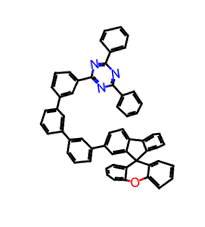 c1ccc(-c2nc(-c3ccccc3)nc(-c3cccc(-c4cccc(-c5cccc(-c6ccc7c(c6)C6(c8ccccc8Oc8ccccc86)c6ccccc6-7)c5)c4)c3)n2)cc1